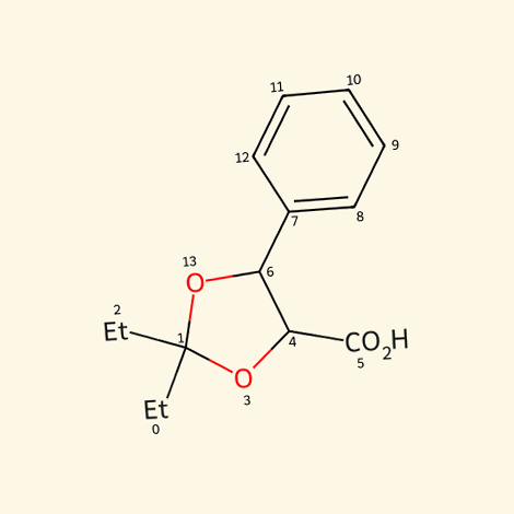 CCC1(CC)OC(C(=O)O)C(c2ccccc2)O1